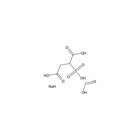 O=C(O)CC(C(=O)O)S(=O)(=O)O.O=CO.[NaH]